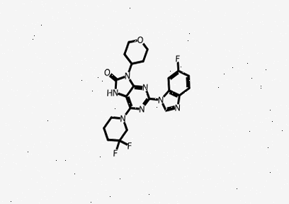 O=c1[nH]c2c(N3CCCC(F)(F)C3)nc(-n3cnc4ccc(F)cc43)nc2n1C1CCOCC1